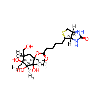 CC1(O)[C@](C)(O)[C@](C)(O)C(C)(CO)C[C@]1(C)OC(=O)CCCCC1SC[C@@H]2NC(=O)N[C@H]12